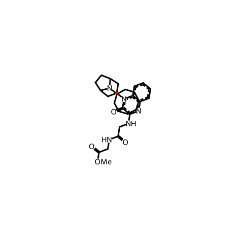 COC(=O)CNC(=O)CNc1nc2ccccc2n(C2CC3CCC(C2)N3C2CCCCCCC2)c1=O